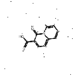 O=C(O)c1ccc2ccccn2c1=O